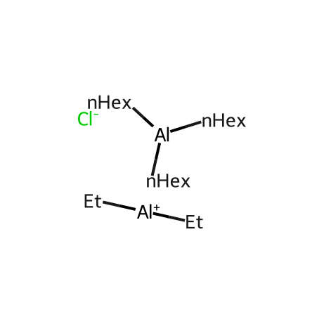 CCCCC[CH2][Al]([CH2]CCCCC)[CH2]CCCCC.C[CH2][Al+][CH2]C.[Cl-]